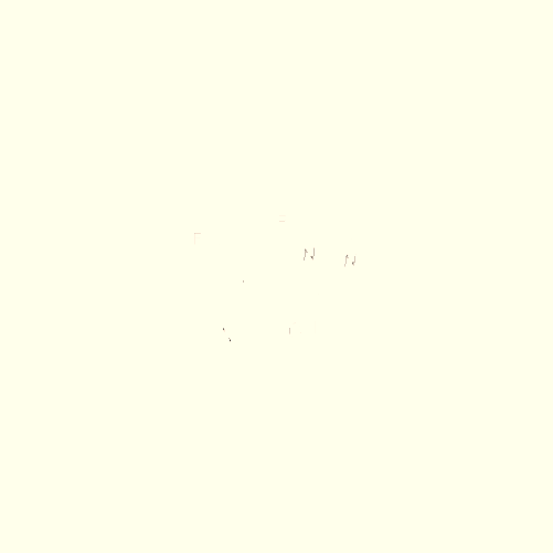 OC(c1cccnc1)(c1cccnc1)C(c1ccc(F)cc1F)N1CCCC1